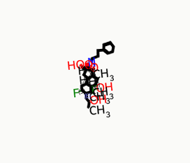 CCC(O)/C=C1/[C@@H](F)C[C@H]2[C@@H]3C[C@H]4CN(CCCC5=CCCC=C5)O[C@@]4(C(=O)CO)[C@@]3(C)C[C@H](O)[C@]2(F)C1(C)C